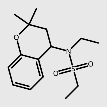 CCN(C1CC(C)(C)Oc2ccccc21)S(=O)(=O)CC